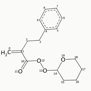 C=C(CCc1ccccc1)C(=O)OOC1CCCCO1